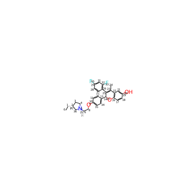 CC[C@@H]1CCN([C@@H](C)COc2ccc(C3Oc4ccc(O)cc4C(C)=C3c3ccc(F)cc3F)cc2)C1